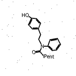 CCCC(C)C(=O)N(CCc1ccc(O)cc1)c1ccccc1